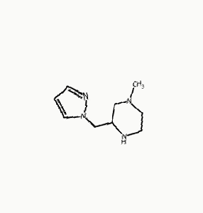 CN1CCNC(Cn2cccn2)C1